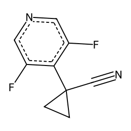 N#CC1(c2c(F)cncc2F)CC1